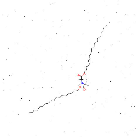 CCCCCCCCCCCCCCCCCCOC(=O)C1(C)CCC(C)(C(=O)OCCCCCCCCCCCCCCCCCC)N1C